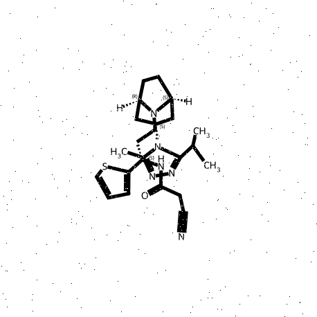 Cc1nnc(C(C)C)n1[C@@H]1C[C@H]2CC[C@@H](C1)N2CC[C@H](NC(=O)CC#N)c1cccs1